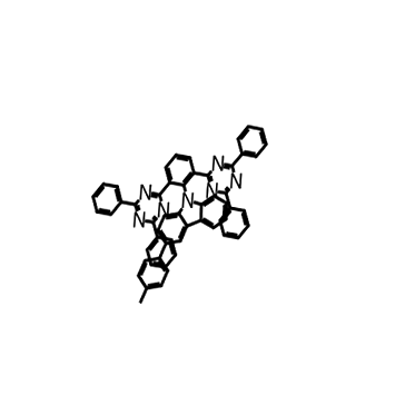 Cc1ccc(-c2ccc3c(c2)c2ccccc2n3-c2c(-c3nc(-c4ccccc4)nc(-c4ccccc4)n3)cccc2-c2nc(-c3ccccc3)nc(-c3ccccc3)n2)cc1